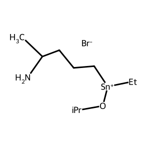 C[CH2][Sn+]([CH2]CCC(C)N)[O]C(C)C.[Br-]